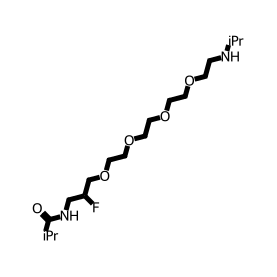 CC(C)NCCOCCOCCOCCOCC(F)CNC(=O)C(C)C